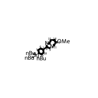 CCC[CH2][Sn]([CH2]CCC)([CH2]CCC)[c]1ccc(-c2cn3cc(OC)ccc3n2)cc1